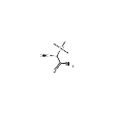 C[N+](C)(C)C(C=O)C(N)=O